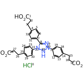 Cl.O=C(O)CCc1ccc(C2=NN(c3ccc(CCC(=O)O)cc3)NN2c2ccc(CCC(=O)O)cc2)cc1